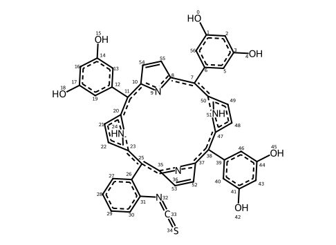 Oc1cc(O)cc(-c2c3nc(c(-c4cc(O)cc(O)c4)c4ccc([nH]4)c(-c4ccccc4N=C=S)c4nc(c(-c5cc(O)cc(O)c5)c5ccc2[nH]5)C=C4)C=C3)c1